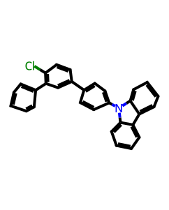 Clc1ccc(-c2ccc(-n3c4ccccc4c4ccccc43)cc2)cc1-c1ccccc1